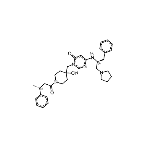 C[C@H](CC(=O)N1CCC(O)(Cn2cnc(N[C@@H](Cc3ccccc3)CN3CCCC3)cc2=O)CC1)c1ccccc1